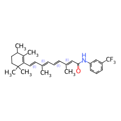 CC1=C(/C=C/C(C)=C/C=C/C(C)=C/C(=O)Nc2cccc(C(F)(F)F)c2)C(C)(C)CCC1C